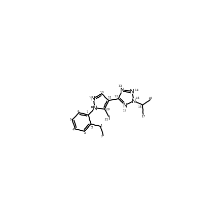 CCc1ccccc1-n1ncc(-c2nnn(C(C)C)n2)c1I